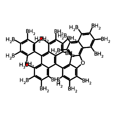 Bc1c(B)c(B)c(-c2c3c(B)c(B)c(B)c(B)c3c(-c3c(B)c(B)c(B)c4oc5c6c(B)c(B)c(B)c(B)c6c(B)c(B)c5c34)c3c(B)c(B)c(B)c(B)c23)c(B)c1B